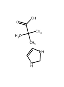 C1=CNCN1.CC(C)(C)C(=O)O